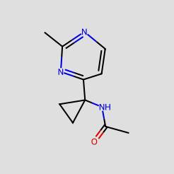 CC(=O)NC1(c2ccnc(C)n2)CC1